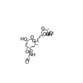 CCC(O)C(C)C1OC1CC(C)(O)/C=C/C=C(\C)C1OC(=O)CC(O)CCC(C)C(OC(=O)NCCN2CCCC2)/C=C/C1C